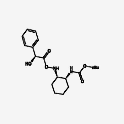 CCCCOC(=O)N[C@H]1CCCC[C@H]1NOC(=O)[C@@H](O)c1ccccc1